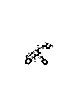 O=C(NCc1ccc(F)cc1F)c1cn2c(c(OCc3ccccc3)c1=O)C(=O)N1[C@@H](C2)N[C@H]2CCCC[C@@H]21